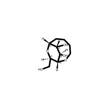 OC[C@H]1O[C@@H]2CCCCO[C@H]1[C@H](O)[C@H]2O